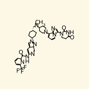 CN(C[C@H]1CC[C@H](n2cc3cc(NC(=O)c4cccc(C(F)(F)F)n4)ncc3n2)CC1)C1CCN(c2cccn3c(N4CCC(=O)NC4=O)cnc23)CC1